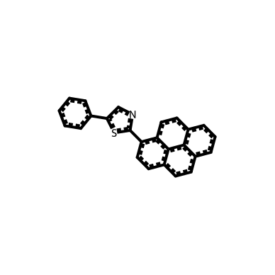 c1ccc(-c2cnc(-c3ccc4ccc5cccc6ccc3c4c56)s2)cc1